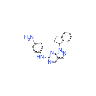 Nc1ccc(Nc2ncc3cnn(C4CCc5ccccc54)c3n2)cc1